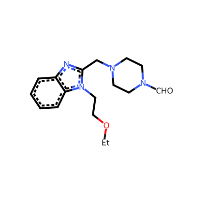 CCOCCn1c(CN2CCN(C=O)CC2)nc2ccccc21